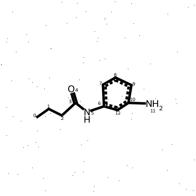 CCCC(=O)Nc1cccc(N)c1